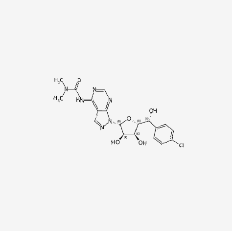 CN(C)C(=O)Nc1ncnc2c1cnn2[C@@H]1O[C@H]([C@H](O)c2ccc(Cl)cc2)[C@@H](O)[C@H]1O